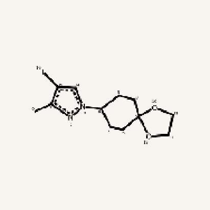 Cc1nn(C2CCC3(CC2)OCCO3)cc1I